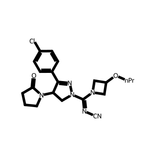 CCCOC1CN(C(=NC#N)N2CC(N3CCCC3=O)C(c3ccc(Cl)cc3)=N2)C1